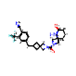 N#Cc1ccc(CC2CC3(C2)CN(C(=O)N2CC4(CCCC(=O)N4)C2)C3)cc1C(F)(F)F